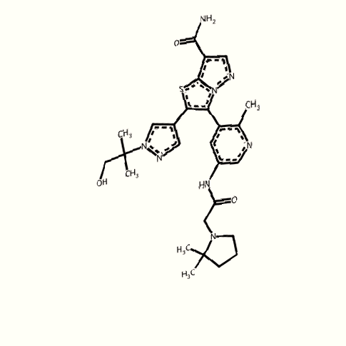 Cc1ncc(NC(=O)CN2CCCC2(C)C)cc1-c1c(-c2cnn(C(C)(C)CO)c2)sc2c(C(N)=O)cnn12